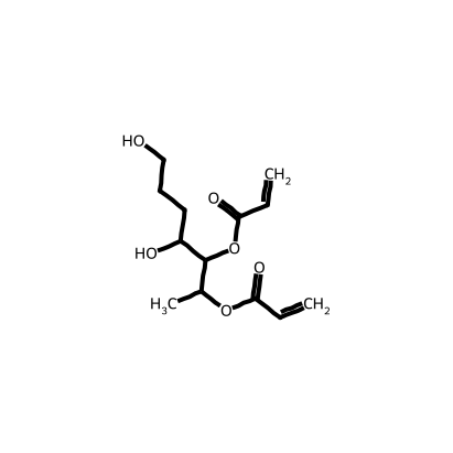 C=CC(=O)OC(C)C(OC(=O)C=C)C(O)CCCO